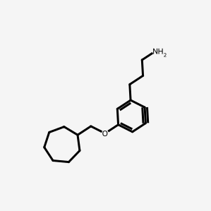 NCCCc1c#ccc(OCC2CCCCCC2)c1